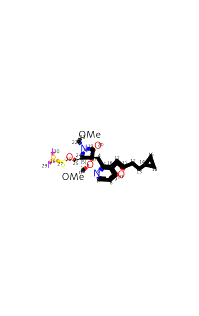 COCO[C@@]1(Cc2nccc3oc(CCC4CC4)cc23)C(=O)N(COC)[C@H]1COSP(I)I